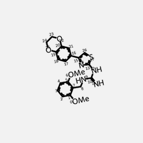 COc1cccc(OC)c1CNC(=N)Nc1nc(-c2ccc3c(c2)OCCO3)cs1